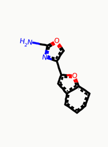 Nc1nc(-c2cc3ccccc3o2)co1